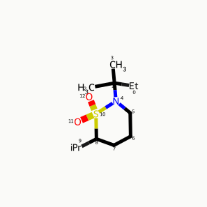 CCC(C)(C)N1CCCC(C(C)C)S1(=O)=O